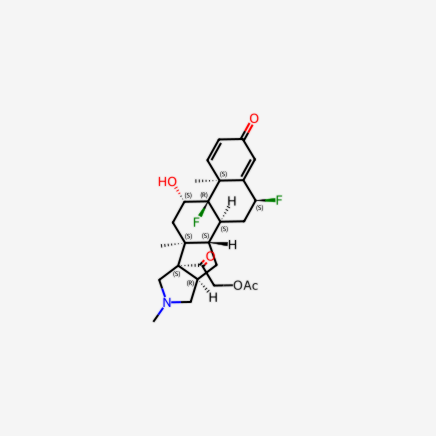 CC(=O)OCC(=O)[C@@]12CN(C)C[C@@H]1C[C@H]1[C@@H]3C[C@H](F)C4=CC(=O)C=C[C@]4(C)[C@@]3(F)[C@@H](O)C[C@@]12C